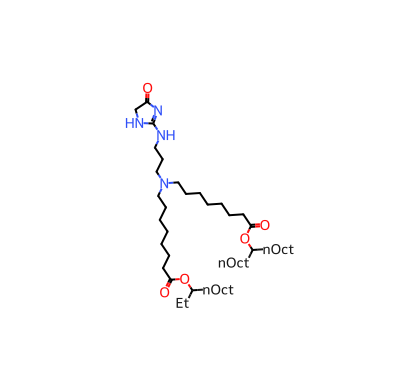 CCCCCCCCC(CC)OC(=O)CCCCCCCN(CCCCCCCC(=O)OC(CCCCCCCC)CCCCCCCC)CCCNC1=NC(=O)CN1